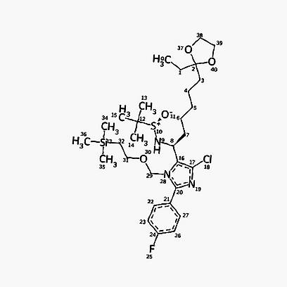 CCC1(CCCCC[C@H](N[S@+]([O-])C(C)(C)C)c2c(Cl)nc(-c3ccc(F)cc3)n2COCC[Si](C)(C)C)OCCO1